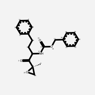 C[C@]1(C(=O)C(CCc2ccccc2)NC(=O)OCc2ccccc2)CO1